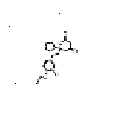 CCOc1ccc(CCC2(C3CCCC3)CC(=O)CC(=O)O2)cc1Cl